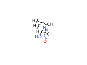 CC(C)CC(C)N=NC(C)(C)C(N)=NO